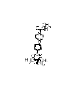 CNC(=O)N1CCN(c2ccc(B3OC(C)(C)C(C)(C)O3)cc2)CC1